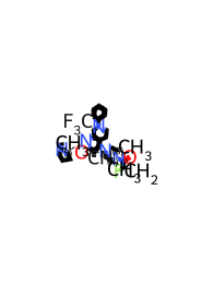 C=C(F)C(=O)N1[C@H](C)CN(c2c(C#N)c(OC[C@@H]3CCCN3C)nc3c2CCN(c2ccccc2C(F)(F)F)C3)C[C@@H]1C